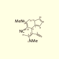 C#C/C(=C(/C)NC)C(C1=CC=CC1)/C(C#N)=C(\C)NC